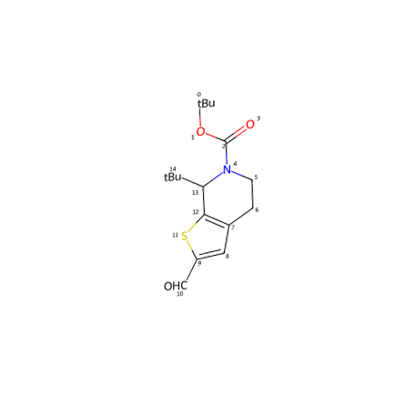 CC(C)(C)OC(=O)N1CCc2cc(C=O)sc2C1C(C)(C)C